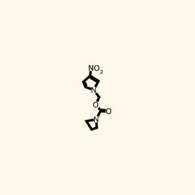 O=C(OCn1ccc([N+](=O)[O-])c1)N1CCC1